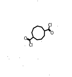 O=C(Cl)C1CCCCC(C(=O)Cl)CCC1